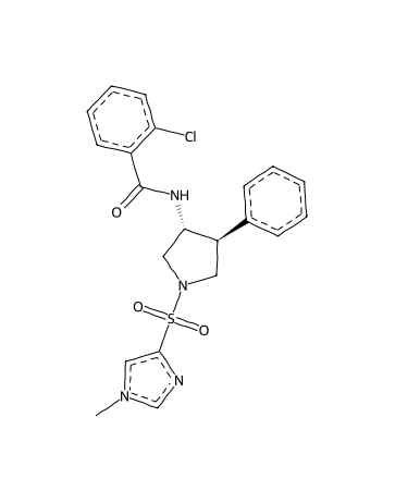 Cn1cnc(S(=O)(=O)N2C[C@H](NC(=O)c3ccccc3Cl)[C@@H](c3ccccc3)C2)c1